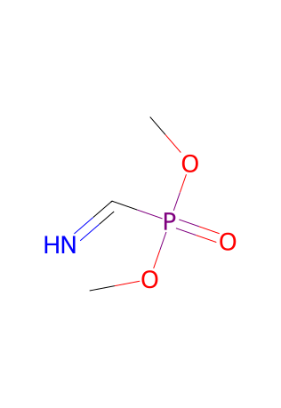 COP(=O)(C=N)OC